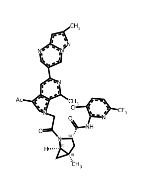 CC(=O)c1cn(CC(=O)N2[C@H](C(=O)Nc3nc(C(F)(F)F)ccc3Cl)C[C@@]3(C)C[C@@H]23)c2c(C)nc(-c3cnc4cc(C)nn4c3)cc12